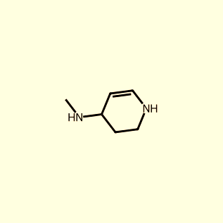 CNC1C=CNCC1